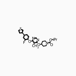 Cc1c(Oc2ccc(-c3ccsc3)cc2F)ncnc1OC1CCN(C(=O)OC(C)C)CC1